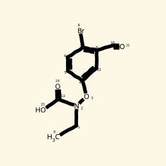 CCN(Oc1ccc(Br)c(C=O)c1)C(=O)O